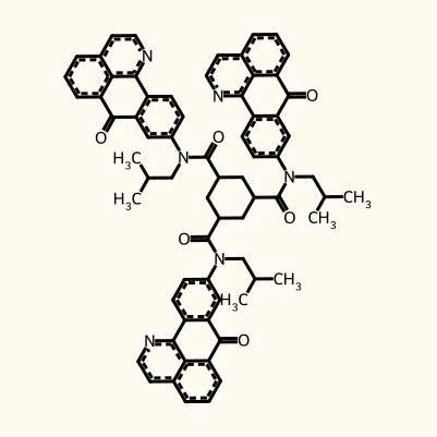 CC(C)CN(C(=O)C1CC(C(=O)N(CC(C)C)c2ccc3c(c2)C(=O)c2cccc4ccnc-3c24)CC(C(=O)N(CC(C)C)c2ccc3c(c2)C(=O)c2cccc4ccnc-3c24)C1)c1ccc2c(c1)C(=O)c1cccc3ccnc-2c13